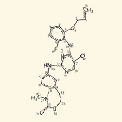 C=CCOc1cccc(F)c1Nc1nc(Nc2ccc3c(c2)CCOC(=O)N3C)ncc1Cl